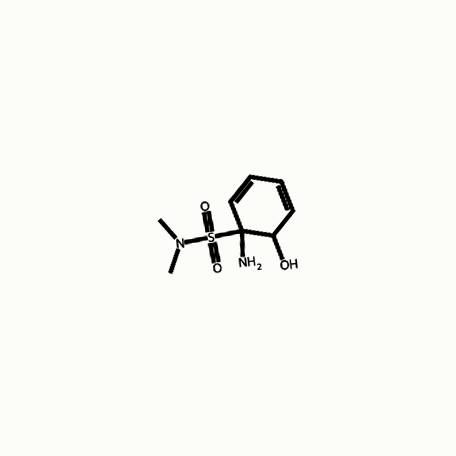 CN(C)S(=O)(=O)C1(N)C=CC=CC1O